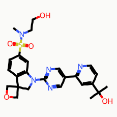 CN(CCO)S(=O)(=O)c1ccc2c(c1)N(c1ncc(-c3cc(C(C)(C)O)ccn3)cn1)CC21COC1